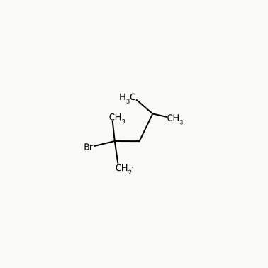 [CH2]C(C)(Br)CC(C)C